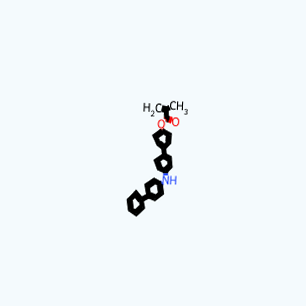 C=C(C)C(=O)Oc1ccc(-c2ccc(Nc3ccc(-c4ccccc4)cc3)cc2)cc1